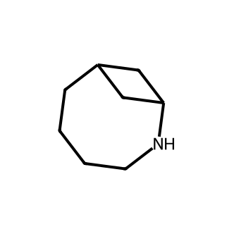 C1CCC2CC(C2)NC1